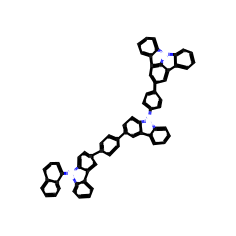 c1ccc2c(-n3c4ccccc4c4cc(-c5ccc(-c6ccc7c(c6)c6ccccc6n7-c6ccc(-c7cc8c9ccccc9n9c%10ccccc%10c(c7)c89)cc6)cc5)ccc43)cccc2c1